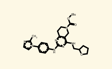 Cc1nccn1-c1ccc(Nc2nc3c(c(NCC4CCCO4)n2)CN(C(=O)OC(C)(C)C)CC3)cc1